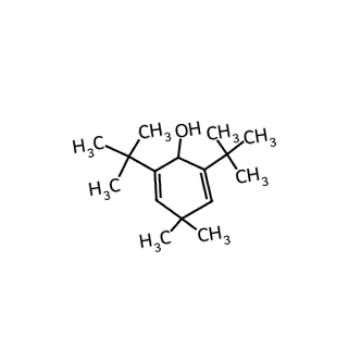 CC1(C)C=C(C(C)(C)C)C(O)C(C(C)(C)C)=C1